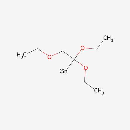 CCOC[C]([Sn])(OCC)OCC